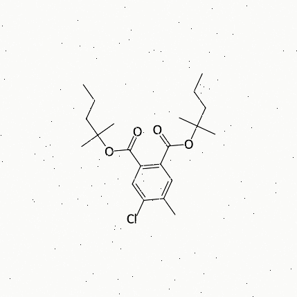 CCCC(C)(C)OC(=O)c1cc(C)c(Cl)cc1C(=O)OC(C)(C)CCC